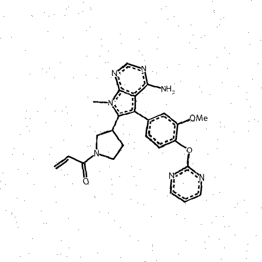 C=CC(=O)N1CCC(c2c(-c3ccc(Oc4ncccn4)c(OC)c3)c3c(N)ncnc3n2C)C1